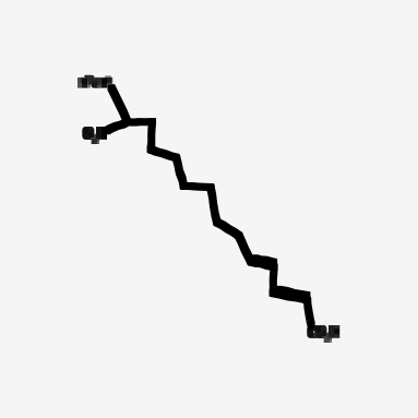 CCCCCC(CCCCCCCC=CC=CC(=O)O)[N+](=O)[O-]